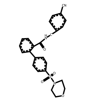 N#Cc1ccc(CNC(=O)c2ccccc2-c2ccc(S(=O)(=O)N3CCOCC3)cc2)cc1